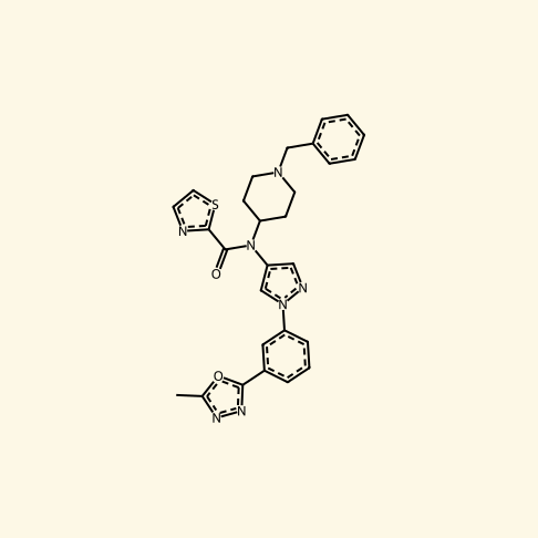 Cc1nnc(-c2cccc(-n3cc(N(C(=O)c4nccs4)C4CCN(Cc5ccccc5)CC4)cn3)c2)o1